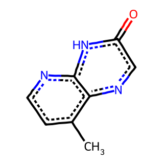 Cc1ccnc2[nH]c(=O)cnc12